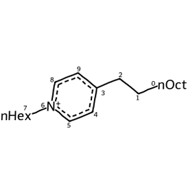 CCCCCCCCCCc1cc[n+](CCCCCC)cc1